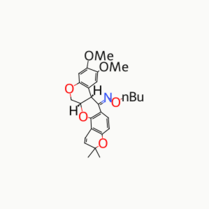 CCCCO/N=C1\c2ccc3c(c2O[C@@H]2COc4cc(OC)c(OC)cc4[C@H]12)C=CC(C)(C)O3